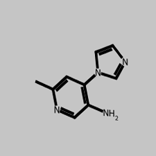 Cc1cc(-n2ccnc2)c(N)cn1